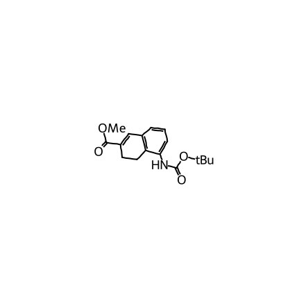 COC(=O)C1=Cc2cccc(NC(=O)OC(C)(C)C)c2CC1